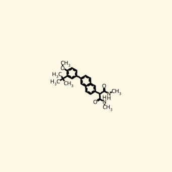 CNC(=O)C(C(=O)NC)c1ccc2cc(-c3ccc(OC)c(C(C)(C)C)c3)ccc2c1